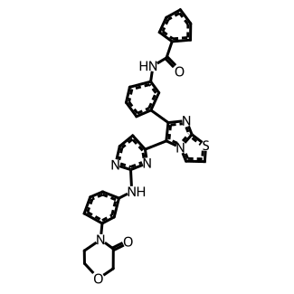 O=C(Nc1cccc(-c2nc3sccn3c2-c2ccnc(Nc3cccc(N4CCOCC4=O)c3)n2)c1)c1ccccc1